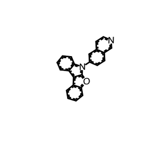 c1ccc2c(c1)oc1c2c2ccccc2n1-c1ccc2cnccc2c1